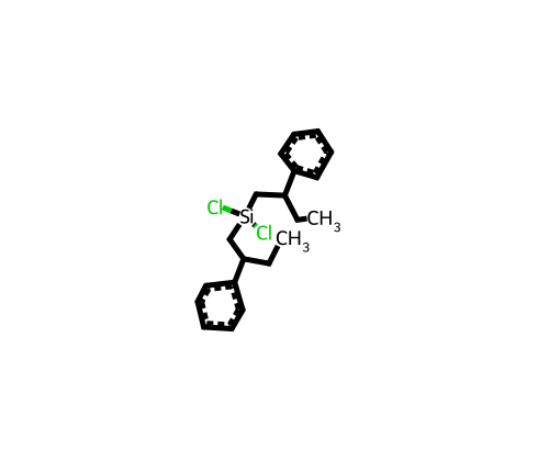 CCC(C[Si](Cl)(Cl)CC(CC)c1ccccc1)c1ccccc1